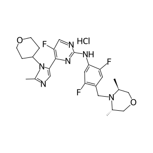 Cc1ncc(-c2nc(Nc3cc(F)c(CN4[C@@H](C)COC[C@@H]4C)cc3F)ncc2F)n1C1CCOCC1.Cl